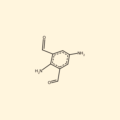 Nc1cc(C=O)c(N)c(C=O)c1